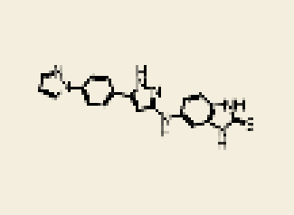 S=c1[nH]c2ccc(Nc3cc(-c4ccc(-n5cccn5)cc4)[nH]n3)cc2[nH]1